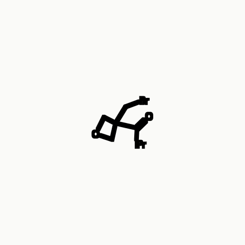 CC(C)C(=O)C1(CBr)COC1